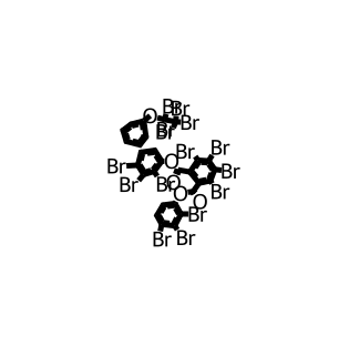 BrC(Br)(Br)C(Br)(Br)Oc1ccccc1.O=C(Oc1ccc(Br)c(Br)c1Br)c1c(Br)c(Br)c(Br)c(Br)c1C(=O)Oc1ccc(Br)c(Br)c1Br